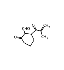 C=C(C)C(=O)C1CCCC(=O)C1C=O